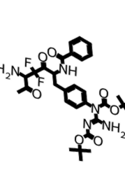 CC(=O)C(N)C(F)(F)C(=O)C(Cc1ccc(N(C(=O)OC(C)(C)C)C(N)=NC(=O)OC(C)(C)C)cc1)NC(=O)c1ccccc1